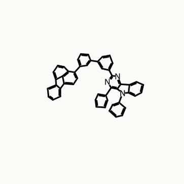 c1ccc(-c2nc(-c3cccc(-c4cccc(-c5ccc6c7c(cccc57)-c5ccccc5-6)c4)c3)nc3c4ccccc4n(-c4ccccc4)c23)cc1